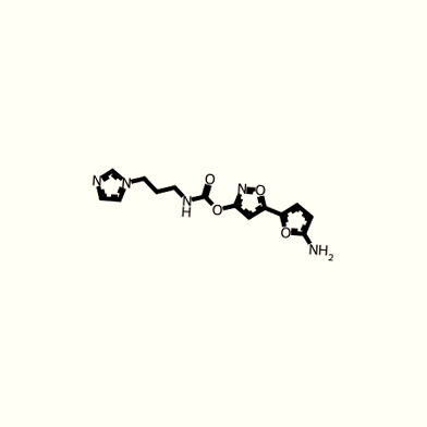 Nc1ccc(-c2cc(OC(=O)NCCCn3ccnc3)no2)o1